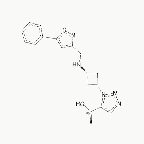 C[C@@H](O)c1cnnn1[C@H]1C[C@H](NCc2cc(-c3ccccc3)on2)C1